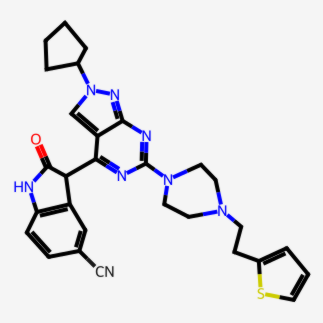 N#Cc1ccc2c(c1)C(c1nc(N3CCN(CCc4cccs4)CC3)nc3nn(C4CCCC4)cc13)C(=O)N2